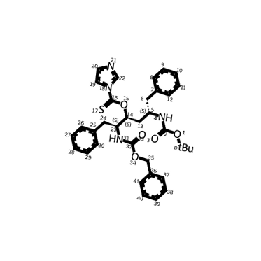 CC(C)(C)OC(=O)N[C@@H](Cc1ccccc1)C[C@H](OC(=S)n1ccnc1)[C@H](Cc1ccccc1)NC(=O)OCc1ccccc1